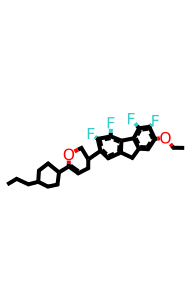 CCCC1CCC(C2=CCC(c3cc4c(c(F)c3F)-c3c(cc(OCC)c(F)c3F)C4)CO2)CC1